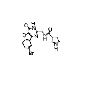 O=C(NCc1nc2c(oc3ccc(Br)cc32)c(=O)[nH]1)C1CCNC1